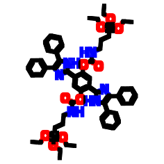 CCO[Si](CCCNC(=O)Oc1cc(-c2nc(-c3ccccc3)c(-c3ccccc3)[nH]2)c(OC(=O)NCCC[Si](OCC)(OCC)OCC)cc1-c1nc(-c2ccccc2)c(-c2ccccc2)[nH]1)(OCC)OCC